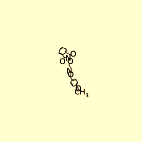 COc1ccc(CON=CCON2C(=O)c3ccccc3C2=O)cc1